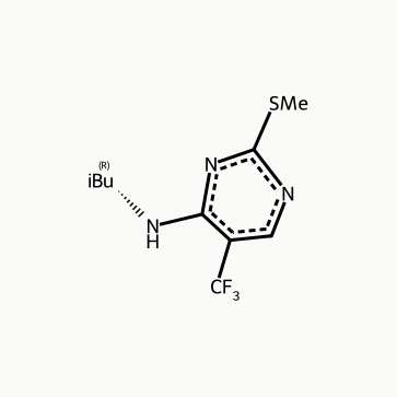 CC[C@@H](C)Nc1nc(SC)ncc1C(F)(F)F